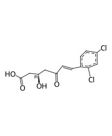 O=C(O)C[C@H](O)CC(=O)C=Cc1ccc(Cl)cc1Cl